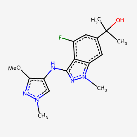 COc1nn(C)cc1Nc1nn(C)c2cc(C(C)(C)O)cc(F)c12